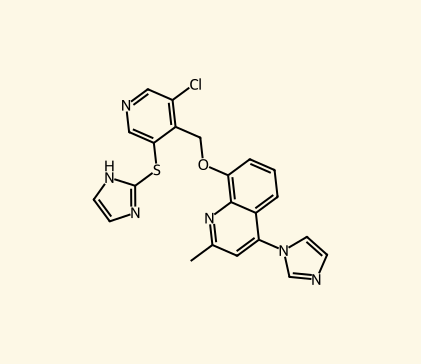 Cc1cc(-n2ccnc2)c2cccc(OCc3c(Cl)cncc3Sc3ncc[nH]3)c2n1